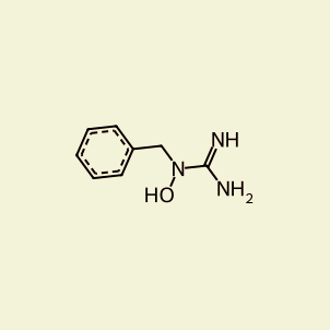 N=C(N)N(O)Cc1ccccc1